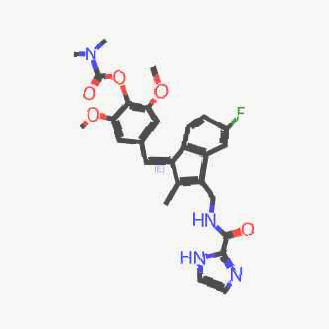 COc1cc(/C=C2/C(C)=C(CNC(=O)c3ncc[nH]3)c3cc(F)ccc32)cc(OC)c1OC(=O)N(C)C